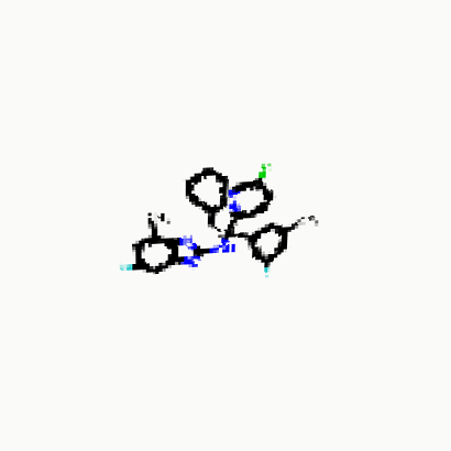 Cc1cc(F)cc2[nH]c(N[C@](Cc3ccccc3)(c3cc(F)cc(C(F)(F)F)c3)c3ccc(Cl)cn3)nc12